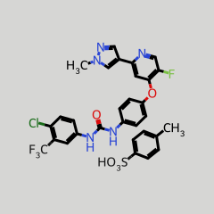 Cc1ccc(S(=O)(=O)O)cc1.Cn1cc(-c2cc(Oc3ccc(NC(=O)Nc4ccc(Cl)c(C(F)(F)F)c4)cc3)c(F)cn2)cn1